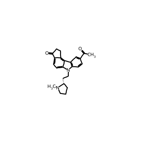 CC(=O)c1ccc2c(c1)c1c3c(ccc1n2CC[C@@H]1CCCN1C)C(=O)CC3